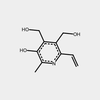 C=Cc1nc(C)c(O)c(CO)c1CO